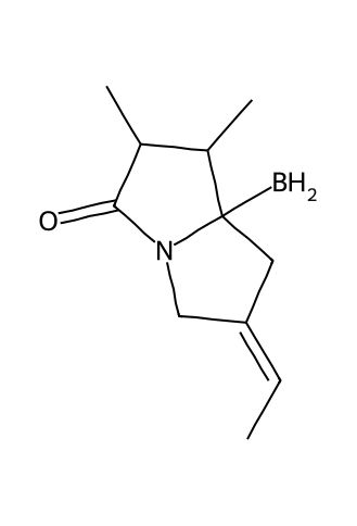 BC12C/C(=C/C)CN1C(=O)C(C)C2C